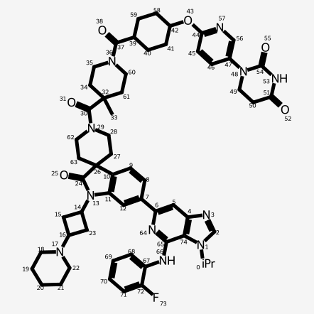 CC(C)n1cnc2cc(-c3ccc4c(c3)N(C3CC(N5CCCCC5)C3)C(=O)C43CCN(C(=O)C4(C)CCN(C(=O)C5CCC(Oc6ccc(N7CCC(=O)NC7=O)cn6)CC5)CC4)CC3)nc(Nc3ccccc3F)c21